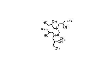 CP(CN(CC(O)CO)CC(O)CO)N(CC(O)CO)CC(O)CO